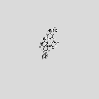 CC(=O)Nc1cc(CN2CCOCC2)cc(Nc2ncc3cc(-c4nccs4)ccc3n2)c1